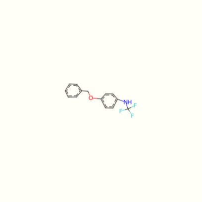 FC(F)(F)Nc1ccc(OCc2ccccc2)cc1